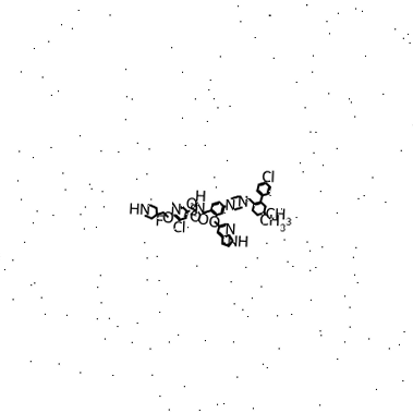 CC1(C)CCC(CN2CCN(c3ccc(C(=O)NS(=O)(=O)c4cnc(OCC5(F)CCNCC5)c(Cl)c4)c(Oc4cnc5[nH]ccc5c4)c3)CC2)=C(c2ccc(Cl)cc2)C1